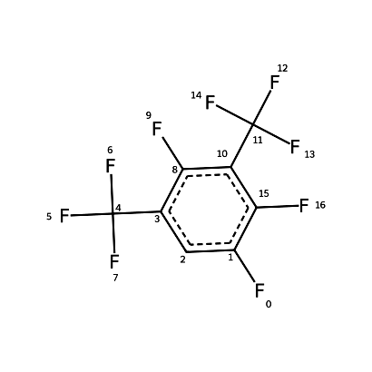 Fc1cc(C(F)(F)F)c(F)c(C(F)(F)F)c1F